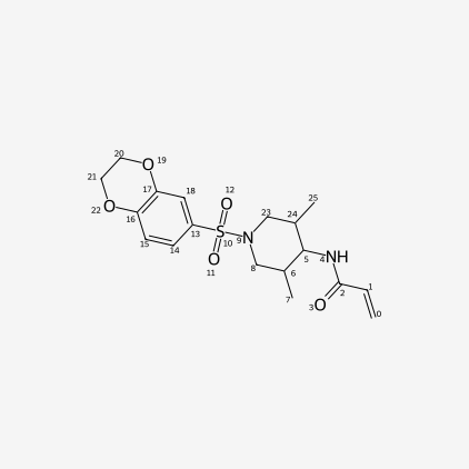 C=CC(=O)NC1C(C)CN(S(=O)(=O)c2ccc3c(c2)OCCO3)CC1C